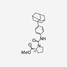 COC(=O)[C@@H]1CCCN1C(=O)Nc1ccc(C23CC4CC(CC(C4)C2)C3)cc1